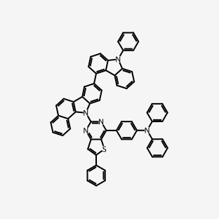 c1ccc(-c2cc3nc(-n4c5ccc(-c6cccc7c6c6ccccc6n7-c6ccccc6)cc5c5ccc6ccccc6c54)nc(-c4ccc(N(c5ccccc5)c5ccccc5)cc4)c3s2)cc1